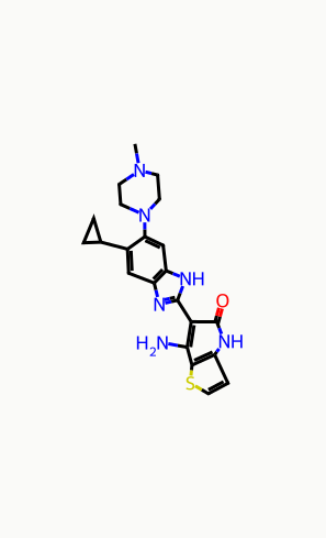 CN1CCN(c2cc3[nH]c(-c4c(N)c5sccc5[nH]c4=O)nc3cc2C2CC2)CC1